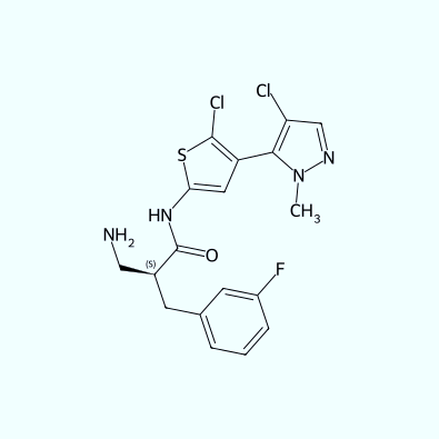 Cn1ncc(Cl)c1-c1cc(NC(=O)[C@H](CN)Cc2cccc(F)c2)sc1Cl